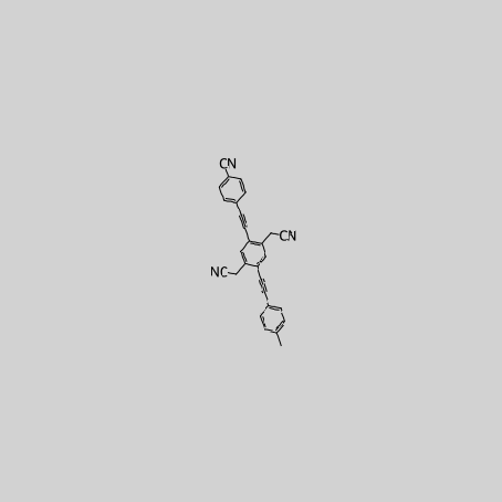 Cc1ccc(C#Cc2cc(CC#N)c(C#Cc3ccc(C#N)cc3)cc2CC#N)cc1